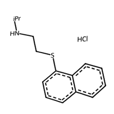 CC(C)NCCSc1cccc2ccccc12.Cl